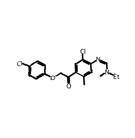 CCN(C)/C=N\c1cc(C)c(C(=O)COc2ccc(Cl)cc2)cc1Cl